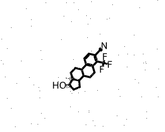 C[C@]12CCC3c4ccc(C#N)c(C(F)(F)F)c4CCC3C1CC[C@@H]2O